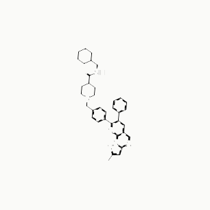 Cc1cc2ncc3cc(-c4ccccc4)c(-c4ccc(CN5CCC(C(=O)N[C@@H](C)C6CCCCC6)CC5)cc4)nc3n2n1